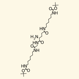 CC(C)(C)OC(=O)NCCCCCCNC(=O)CC[C@@H](N)C(=O)NCC(=O)NCCCCCCNC(=O)OC(C)(C)C